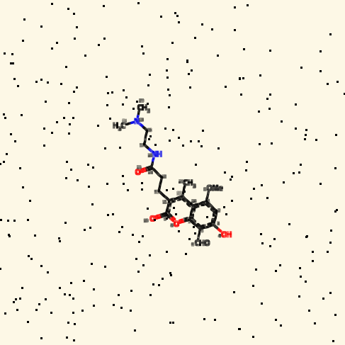 COc1cc(O)c(C=O)c2oc(=O)c(CCC(=O)NCCN(C)C)c(C)c12